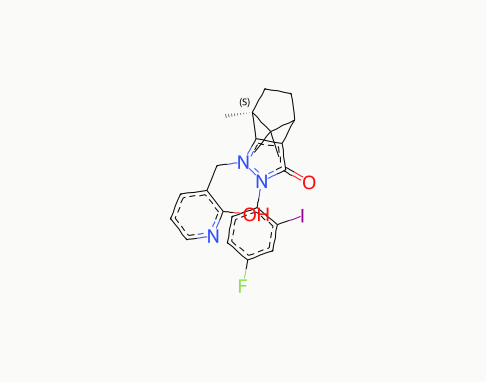 CC1(C)C2CC[C@]1(C)c1c2c(=O)n(-c2ccc(F)cc2I)n1Cc1cccnc1O